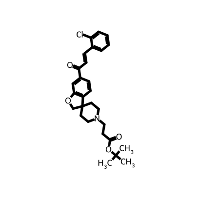 CC(C)(C)OC(=O)CCN1CCC2(CC1)COc1cc(C(=O)C=Cc3ccccc3Cl)ccc12